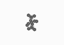 c1ccc(-c2nc(-c3ccccc3)nc(-c3ccc4c(-c5ccc6ccccc6c5)c5cc(-c6nc(-c7ccccc7)nc(-c7ccccc7)n6)ccc5c(-c5ccc6ccccc6c5)c4c3)n2)cc1